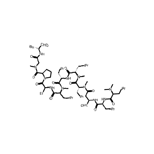 CCC(NC(=O)C(CC(C)C)N(C)C(=O)[C@H](CC(C)C)NC(=O)[C@H](CC(C)C)N(C)C(=O)[C@@H](CC(C)C)N(C)C(=O)CC(C=O)NC(=O)C(CC(C)C)NC(=O)C(CC(C)C)N(C)C)C(=O)N1CCCC1C(=O)N(C)CC(=O)NC(C=O)[C@@H](C)CC